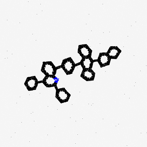 c1ccc(-c2cc(-c3ccccc3)c3cccc(-c4ccc(-c5c6ccccc6c(-c6ccc7ccccc7c6)c6ccccc56)cc4)c3n2)cc1